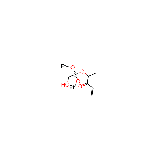 C=CC(=O)C(C)O[Si](CO)(OCC)OCC